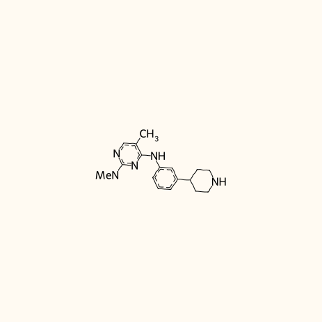 CNc1ncc(C)c(Nc2cccc(C3CCNCC3)c2)n1